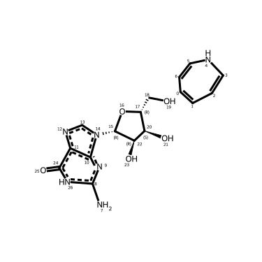 C1=CC=CNC=C1.Nc1nc2c(ncn2[C@@H]2O[C@H](CO)[C@@H](O)[C@H]2O)c(=O)[nH]1